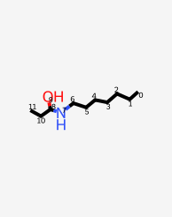 CCCCCCCNC(O)CC